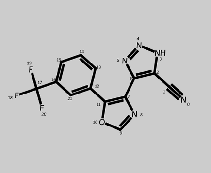 N#Cc1[nH]nnc1-c1ncoc1-c1cccc(C(F)(F)F)c1